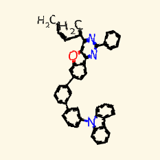 C=C/C=C\C(=C)c1nc(-c2ccccc2)nc2c1oc1cc(-c3cccc(-c4cccc(-n5c6ccccc6c6ccccc65)c4)c3)ccc12